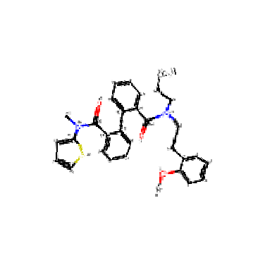 CCOc1ccccc1CCN(CCC(=O)O)C(=O)c1ccccc1-c1ccccc1C(=O)N(C)c1cccs1